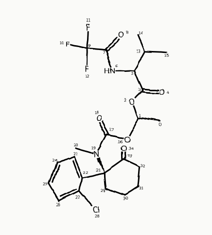 CC(OC(=O)C(NC(=O)C(F)(F)F)C(C)C)OC(=O)N(C)[C@]1(c2ccccc2Cl)CCCCC1=O